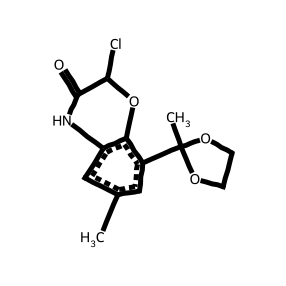 Cc1cc2c(c(C3(C)OCCO3)c1)OC(Cl)C(=O)N2